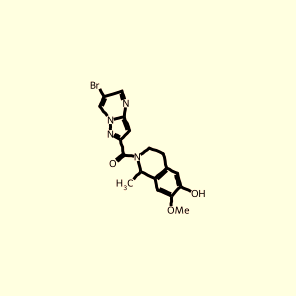 COc1cc2c(cc1O)CCN(C(=O)c1cc3ncc(Br)cn3n1)C2C